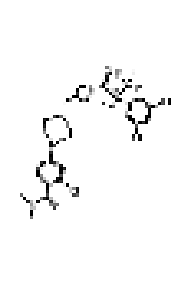 CN(C)C(=O)c1ccc(N2CCC(CC3CN(C(=O)[C@](O)(c4cc(Cl)cc(Cl)c4)C(F)(F)F)C3)CC2)cc1Cl